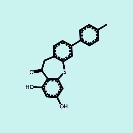 Cc1ccc(-c2ccc3c(c2)Sc2cc(O)cc(O)c2C(=O)C3)cc1